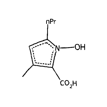 CCCc1cc(C)c(C(=O)O)n1O